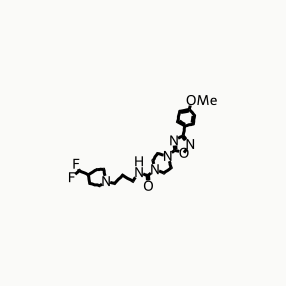 COc1ccc(-c2noc(N3CCN(C(=O)NCCCN4CCC(C(F)F)CC4)CC3)n2)cc1